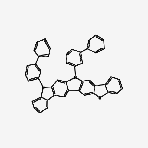 c1ccc(-c2cccc(-n3c4ccccc4c4cc5c6cc7oc8ccccc8c7cc6n(-c6cccc(-c7ccccc7)c6)c5cc43)c2)cc1